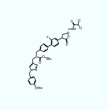 COc1ccc(Cn2cc(CN(Cc3ccc(-c4ccc(N5C[C@H](CNC(=O)C(Cl)Cl)OC5=O)cc4F)cc3)C(=O)OC(C)(C)C)nn2)cc1